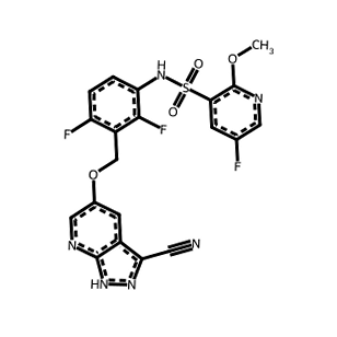 COc1ncc(F)cc1S(=O)(=O)Nc1ccc(F)c(COc2cnc3[nH]nc(C#N)c3c2)c1F